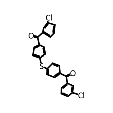 O=C(c1ccc(Sc2ccc(C(=O)c3cccc(Cl)c3)cc2)cc1)c1cccc(Cl)c1